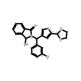 O=C1c2ccccc2C(O)N1C(c1cccc(Cl)c1)c1csc(C2OCCO2)c1